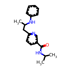 CC(C)NC(=O)c1ccc(CC(C)Nc2ccccc2)nc1